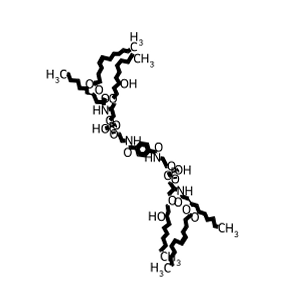 CCCCCC/C=C\CCCC(=O)O[C@H](CCCCCCC)CC(=O)NC(COCC[C@H](O)CCCCCCC)COP(=O)(O)OCCNC(=O)c1ccc(C(=O)NCCOP(=O)(O)OCC(COCC[C@H](O)CCCCCCC)NC(=O)C[C@@H](CCCCCCC)OC(=O)CCC/C=C\CCCCCC)cc1